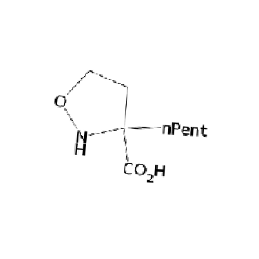 CCCCCC1(C(=O)O)CCON1